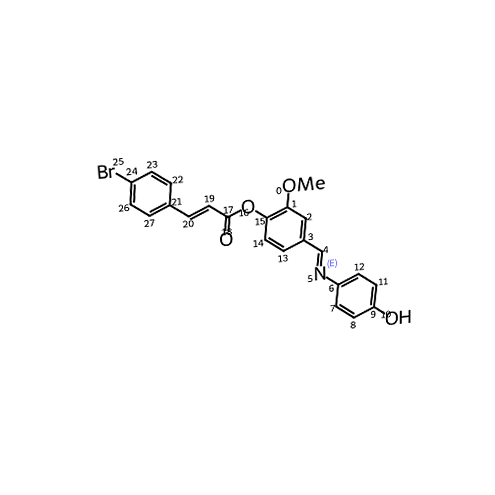 COc1cc(/C=N/c2ccc(O)cc2)ccc1OC(=O)C=Cc1ccc(Br)cc1